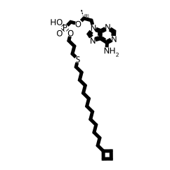 C[C@H](Cn1cnc2c(N)ncnc21)OCP(=O)(O)OCCCSCCCCCCCCCCCCCC1CCC1